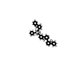 c1ccc(-c2nc(-c3ccc4sc5c(-c6cccc7c6oc6ccccc67)cccc5c4c3)nc(-c3cccc4c3sc3ccccc34)n2)cc1